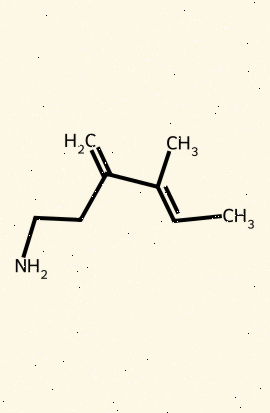 C=C(CCN)/C(C)=C/C